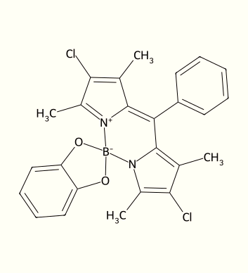 CC1=C(Cl)C(C)=[N+]2C1=C(c1ccccc1)c1c(C)c(Cl)c(C)n1[B-]21Oc2ccccc2O1